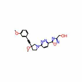 COc1cccc(C#CC2(OC)CCN(c3ccc(-c4nc(CO)no4)nn3)C2)c1